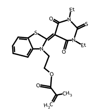 C=C(C)C(=O)OCCN1C(=C2C(=O)N(CC)C(=S)N(CC)C2=O)Sc2ccccc21